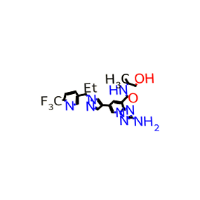 CCC(c1ccc(C(F)(F)F)nc1)n1cc(-c2cc(C(=O)NC(C)CO)c3nc(N)nn3c2)cn1